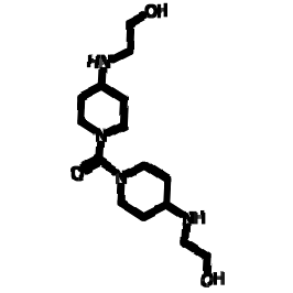 O=C(N1CCC(NCCO)CC1)N1CCC(NCCO)CC1